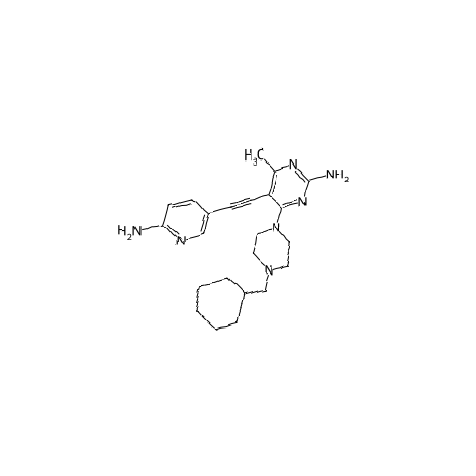 Cc1nc(N)nc(N2CCN(CC3CCCCC3)CC2)c1C#Cc1ccc(N)nc1